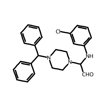 O=CC(Nc1cccc(Cl)c1)N1CCN(C(c2ccccc2)c2ccccc2)CC1